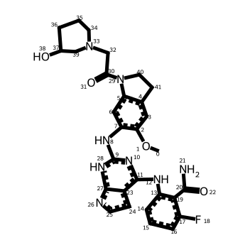 COc1cc2c(cc1Nc1nc(Nc3cccc(F)c3C(N)=O)c3ccnc-3[nH]1)N(C(=O)CN1CCCC(O)C1)CC2